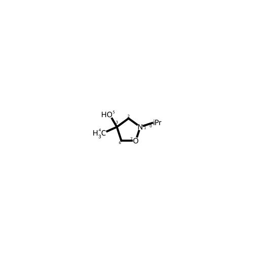 CC(C)N1CC(C)(O)CO1